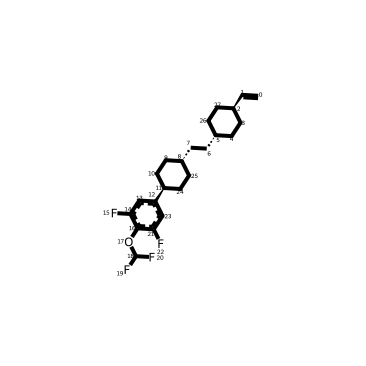 C=C[C@H]1CC[C@H](CC[C@H]2CC[C@H](c3cc(F)c(OC(F)F)c(F)c3)CC2)CC1